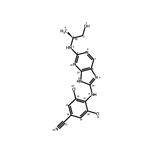 C[C@@H](CO)Nc1ncc2nc(Nc3c(Cl)cc(C#N)cc3Cl)[nH]c2n1